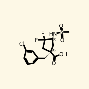 CS(=O)(=O)N[C@@H]1C[C@@](Cc2cccc(Cl)c2)(C(=O)O)CC1(F)F